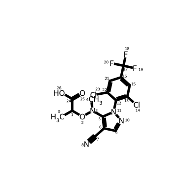 CC(ON(C)c1c(C#N)cnn1-c1c(Cl)cc(C(F)(F)F)cc1Cl)C(=O)O